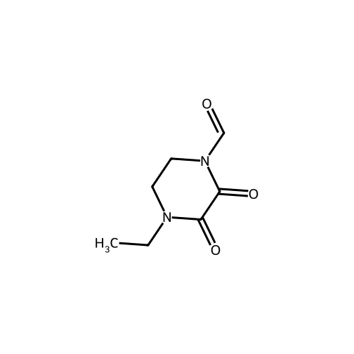 CCN1CCN(C=O)C(=O)C1=O